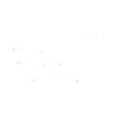 CCC(CC)=NOCN(C(=O)C(Cl)CC)c1cc(CCSC)ccc1CC